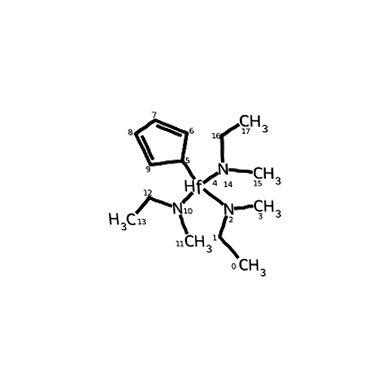 CC[N](C)[Hf]([CH]1C=CC=C1)([N](C)CC)[N](C)CC